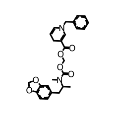 CC(Cc1ccc2c(c1)OCO2)N(C)C(=O)OCOC(=O)C1=CN(Cc2ccccc2)C=CC1